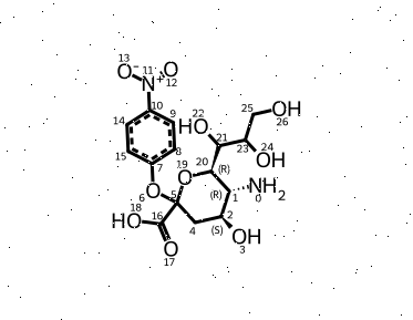 N[C@@H]1[C@@H](O)CC(Oc2ccc([N+](=O)[O-])cc2)(C(=O)O)O[C@H]1C(O)C(O)CO